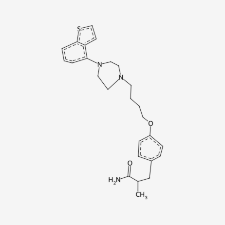 CC(Cc1ccc(OCCCCN2CCN(c3cccc4sccc34)CC2)cc1)C(N)=O